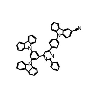 N#Cc1ccc2c(c1)c1ccccc1n2-c1ccc(-c2cc(-c3cc(-n4c5ccccc5c5ccccc54)cc(-n4c5ccccc5c5ccccc54)c3)nc(-c3ccccc3)n2)cc1